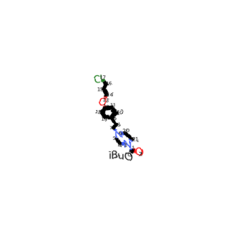 CC(C)COC(=O)N1CCN(CCc2ccc(OCCCCl)cc2)CC1